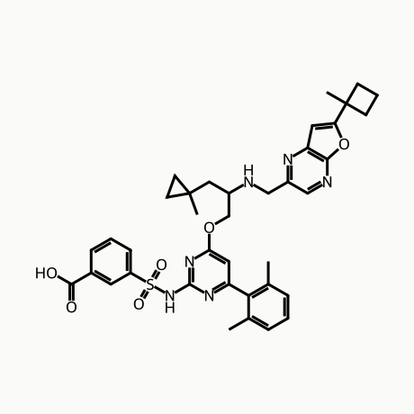 Cc1cccc(C)c1-c1cc(OCC(CC2(C)CC2)NCc2cnc3oc(C4(C)CCC4)cc3n2)nc(NS(=O)(=O)c2cccc(C(=O)O)c2)n1